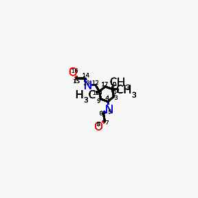 CC1(C)CC(N=CC=O)CC(C)(CN=CC=O)C1